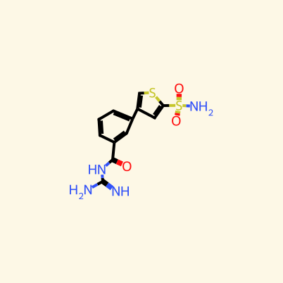 N=C(N)NC(=O)c1cccc(-c2csc(S(N)(=O)=O)c2)c1